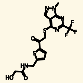 Cn1ncc2c(SCC(=O)c3ccc(CNC(=O)CO)s3)nc(C(F)(F)F)nc21